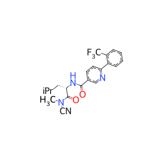 CC(C)C[C@H](NC(=O)c1ccc(-c2ccccc2C(F)(F)F)nc1)C(=O)N(C)C#N